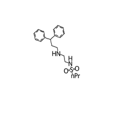 CCCS(=O)(=O)NCCNCCC(c1ccccc1)c1ccccc1